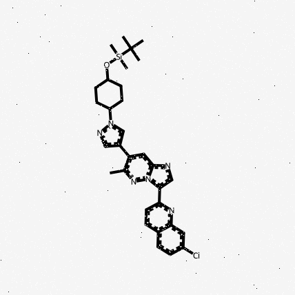 Cc1nn2c(-c3ccc4ccc(Cl)cc4n3)cnc2cc1-c1cnn(C2CCC(O[Si](C)(C)C(C)(C)C)CC2)c1